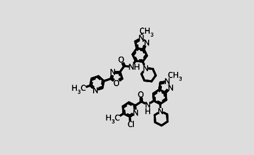 Cc1ccc(-c2nc(C(=O)Nc3cc4cn(C)nc4cc3N3CCCCC3)co2)cn1.Cc1ccc(C(=O)Nc2cc3cn(C)nc3cc2N2CCCCC2)nc1Cl